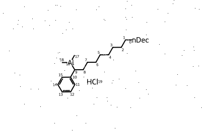 CCCCCCCCCCCCCCCCCC[CH](c1ccccc1)[Al]([CH3])[CH3].Cl